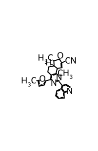 Cc1ccc(-c2nc(-c3ccnc4ccccc34)nc3c2CC[C@@H]2[C@@H](C)C(=O)C(C#N)=C[C@@]32C)o1